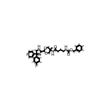 CC1(NC(=O)CCCNC(=O)OCc2ccccc2)COC(C2=NC(c3ccncc3)(c3ccc(F)cc3)CN2)OC1